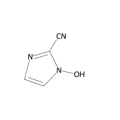 N#Cc1nccn1O